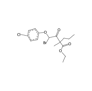 CCCC(C)(C(=O)OCC)C(=O)C(Br)Oc1ccc(Cl)cc1